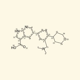 CN(C)Cc1cc(-c2cnc3[nH]cc(C(=O)O)c3c2)ccc1C1CCOCC1